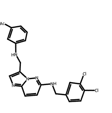 CC(=O)c1cccc(NCc2cnc3ccc(NCc4ccc(Cl)c(Cl)c4)nn23)c1